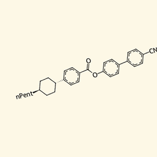 CCCCC[C@H]1CC[C@H](c2ccc(C(=O)Oc3ccc(-c4ccc(C#N)cc4)cc3)cc2)CC1